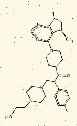 C[C@@H]1C[C@H](F)c2ncnc(N3CCN(C(=O)C(CN4CCN(CCO)CC4)c4ccc(Cl)cc4)CC3)c21